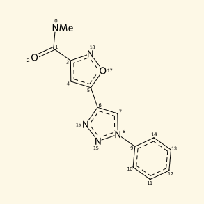 CNC(=O)c1cc(-c2cn(-c3ccccc3)nn2)on1